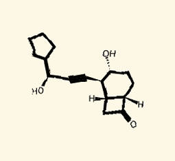 O=C1C[C@@H]2[C@@H](C#C[C@@H](O)C3CCCC3)[C@H](O)CC[C@H]12